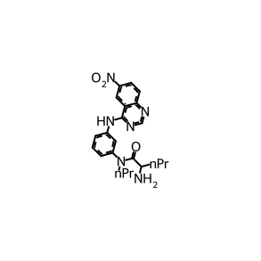 CCCC(N)C(=O)N(CCC)c1cccc(Nc2ncnc3ccc([N+](=O)[O-])cc23)c1